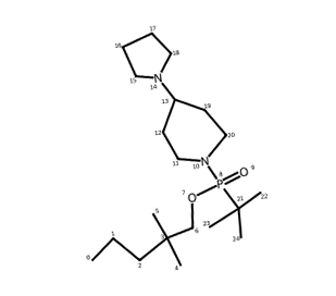 CCCC(C)(C)COP(=O)(N1CCC(N2CCCC2)CC1)C(C)(C)C